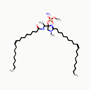 CCCCCCCC/C=C\CCCCCCCCC1=NC(OS(=O)(=O)OC)(C(C)NC(=O)CCCCCCC/C=C\CCCCCCCC)CN1C.N